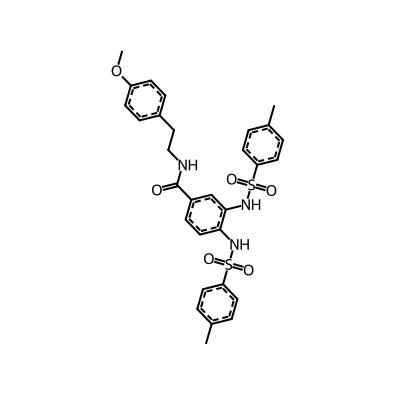 COc1ccc(CCNC(=O)c2ccc(NS(=O)(=O)c3ccc(C)cc3)c(NS(=O)(=O)c3ccc(C)cc3)c2)cc1